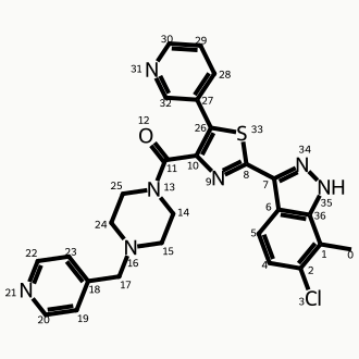 Cc1c(Cl)ccc2c(-c3nc(C(=O)N4CCN(Cc5ccncc5)CC4)c(-c4cccnc4)s3)n[nH]c12